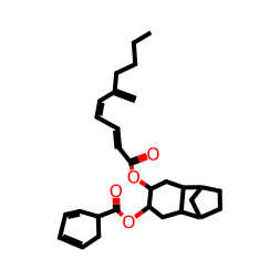 C=C(/C=C\C=C\C(=O)OC1CC2C3CCC(C3)C2CC1OC(=O)C1C=CC=CC1)CCCC